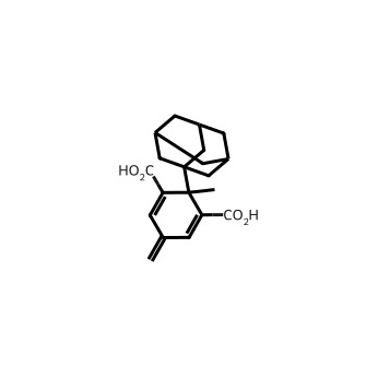 C=C1C=C(C(=O)O)C(C)(C23CC4CC(CC(C4)C2)C3)C(C(=O)O)=C1